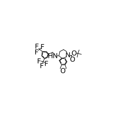 CC(C)(C)OC(=O)N1CCCC(NCc2cc(C(F)(F)F)cc(C(F)(F)F)c2)c2cc3c(cc21)COC3